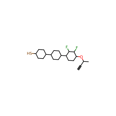 C#CC(C)OC1CCC(C2CCC(C3CCC(S)CC3)CC2)C(F)C1F